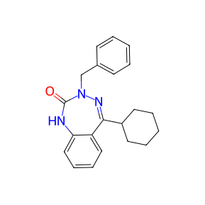 O=C1Nc2ccccc2C(C2CCCCC2)=NN1Cc1ccccc1